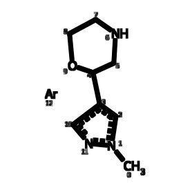 Cn1cc(C2CNCCO2)cn1.[Ar]